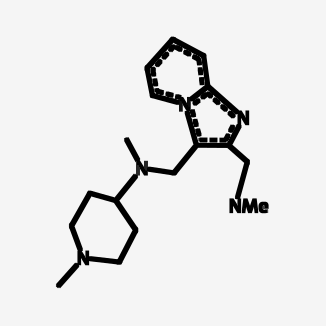 CNCc1nc2ccccn2c1CN(C)C1CCN(C)CC1